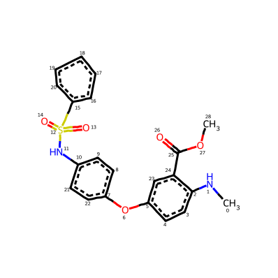 CNc1ccc(Oc2ccc(NS(=O)(=O)c3ccccc3)cc2)cc1C(=O)OC